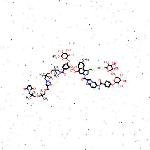 COc1ccc2c(OS(=O)(=O)Oc3cc(C(=O)N(C)CC(C)(C)COCC(C)(C)Cn4cc(COCC(C)(C)COCC(C)(C)CN5C(=O)C=CC5=O)nn4)ccc3O[C@@H]3O[C@H](C(=O)O)[C@@H](O)[C@H](O)[C@H]3O)cc3c(c2c1)[C@H](CCl)CN3C(=O)c1cn2cc(NC(=O)c3ccc(O[C@@H]4O[C@H](CO[C@@H]5OC(C(=O)O)[C@@H](O)[C@H](O)[C@H]5O)[C@H](O)[C@H](O)[C@H]4O)cc3)ccc2n1